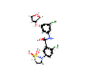 O=C(Nc1cc(Cl)cc(OC2CCOC2)c1)c1cc(N2CCCS2(=O)=O)ccc1Cl